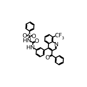 O=C(Nc1cccc(-c2c(C(=O)c3ccccc3)cnc3c(C(F)(F)F)cccc23)c1)NS(=O)(=O)c1ccccc1